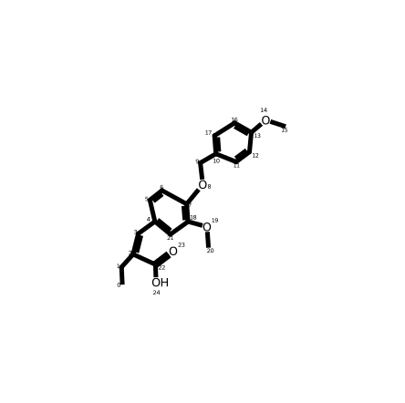 CC/C(=C/c1ccc(OCc2ccc(OC)cc2)c(OC)c1)C(=O)O